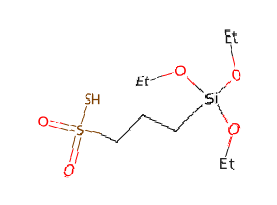 CCO[Si](CCCS(=O)(=O)S)(OCC)OCC